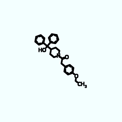 CCOc1ccc(CC(=O)N2CCC(C(O)(c3ccccc3)c3ccccc3)CC2)cc1